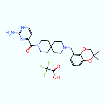 CC1(C)COc2c(CN3CCC4(CC3)CCN(C(=O)c3ccnc(N)n3)CC4)cccc2O1.O=C(O)C(F)(F)F